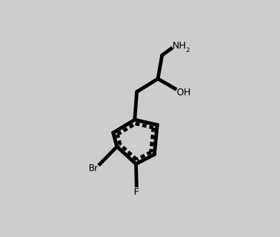 NCC(O)Cc1ccc(F)c(Br)c1